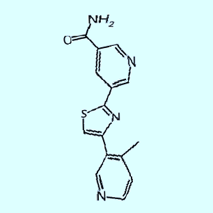 Cc1ccncc1-c1csc(-c2cncc(C(N)=O)c2)n1